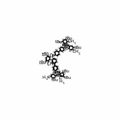 Cc1cc(OP(c2ccc(-c3ccc(P(=O)(Oc4cc(C)c(C(C)(C)C)cc4C(C)(C)C)Oc4cc(C)c(C(C)(C)C)cc4C(C)(C)C)cc3)cc2)c2ccc(-c3ccc(P(=O)(Oc4cc(C)c(C(C)(C)C)cc4C(C)(C)C)Oc4cc(C)c(C(C)(C)C)cc4C(C)(C)C)cc3)cc2)c(C(C)(C)C)cc1C(C)(C)C